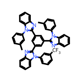 Cc1cccc(-n2c(-c3cc(-c4nc5ccccc5n4-c4cccc(C)c4)cc(-c4nc5ccccc5n4-c4cccc(C(F)(F)F)c4)c3)nc3ccccc32)c1